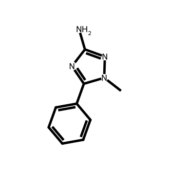 Cn1nc(N)nc1-c1ccccc1